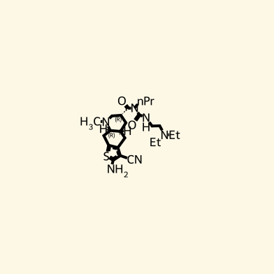 CCCN(C(=O)NCCN(CC)CC)C(=O)[C@@H]1C[C@@H]2Cc3c(sc(N)c3C#N)C[C@H]2N(C)C1